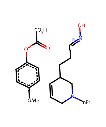 CCCN1CC=CC(CC/C=N/O)C1.COc1ccc(OC(=O)C(=O)O)cc1